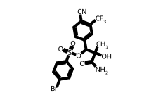 CC(O)(C(N)=O)C(OS(=O)(=O)c1ccc(Br)cc1)c1ccc(C#N)c(C(F)(F)F)c1